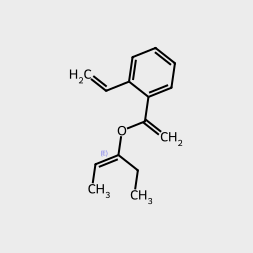 C=Cc1ccccc1C(=C)O/C(=C/C)CC